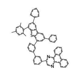 Cc1cc(C)c(-c2cc(-c3ccccc3)cc3c2sc2c(-c4cccc(-c5cccc(-c6cnc7c8ccccc8c8ccccc8c7n6)c5)c4)cc(-c4ccccc4)cc23)c(C)c1